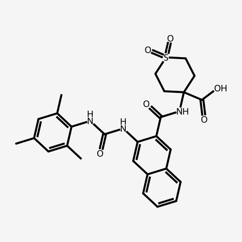 Cc1cc(C)c(NC(=O)Nc2cc3ccccc3cc2C(=O)NC2(C(=O)O)CCS(=O)(=O)CC2)c(C)c1